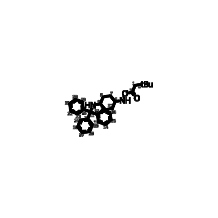 CC(C)(C)CC(=O)ONC1CCC(NC(c2ccccc2)(c2ccccc2)c2ccccc2)CC1